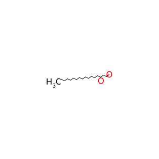 CCCCCCCCCCCCCCC(=O)CC=O